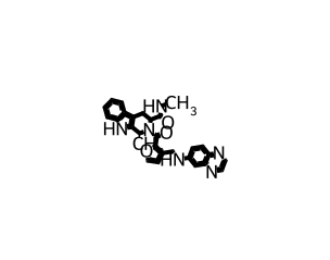 CNC(=O)C1Cc2c([nH]c3ccccc23)[C@@H](C)N1C(=O)c1occc1CNc1ccc2nccnc2c1